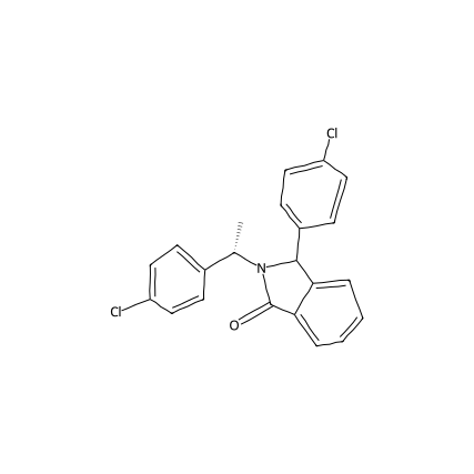 C[C@@H](c1ccc(Cl)cc1)N1C(=O)c2ccccc2C1c1ccc(Cl)cc1